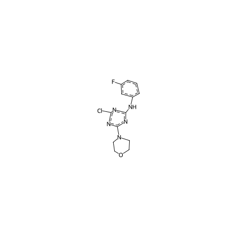 Fc1cccc(Nc2nc(Cl)nc(N3CCOCC3)n2)c1